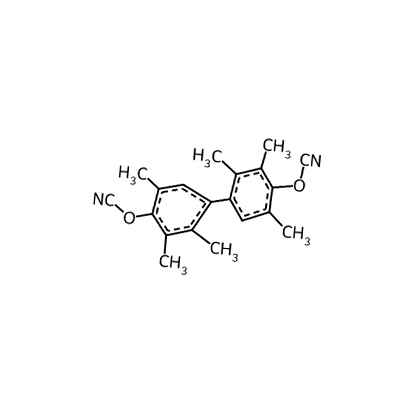 Cc1cc(-c2cc(C)c(OC#N)c(C)c2C)c(C)c(C)c1OC#N